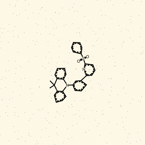 CC1(C)c2ccccc2N(c2cccc(-c3cccc(S(=O)(=O)c4ccccc4)n3)c2)c2ccccc21